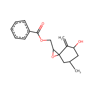 C=C1C(O)CC(C)CC12OC2COC(=O)c1ccccc1